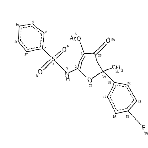 CC(=O)OC1=C(NS(=O)(=O)c2ccccc2)OC(C)(c2ccc(F)cc2)C1=O